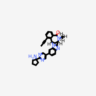 [2H]C([2H])([2H])N1C(=O)c2cccc(C#CC)c2[C@H]2C[C@@H]1c1nc3ccc(-c4cnc(C5(N)CCCC5)nc4)cc3n12